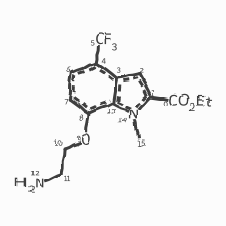 CCOC(=O)c1cc2c(C(F)(F)F)ccc(OCCN)c2n1C